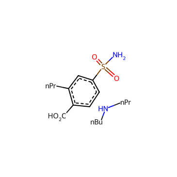 CCCCNCCC.CCCc1cc(S(N)(=O)=O)ccc1C(=O)O